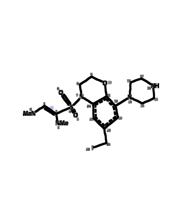 CN/C=C(\NC)S(=O)(=O)N1CCOc2c(N3CCNCC3)cc(CI)cc21